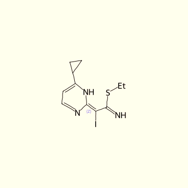 CCSC(=N)/C(I)=C1/N=CC=C(C2CC2)N1